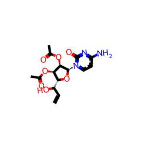 C=CC(O)[C@H]1O[C@@H](n2ccc(N)nc2=O)[C@H](OC(C)=O)[C@@H]1OC(C)=O